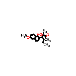 CCCC(c1ccc2cc(OC)ccc2c1)C(C)(O)C(C)=O